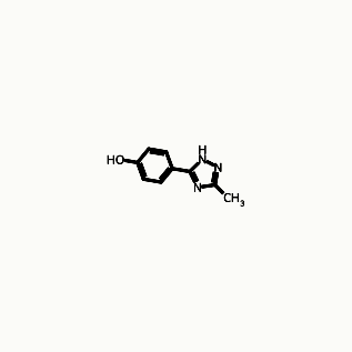 Cc1n[nH]c(-c2ccc(O)cc2)n1